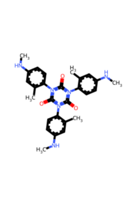 CNc1ccc(-n2c(=O)n(-c3ccc(NC)cc3C)c(=O)n(-c3ccc(NC)cc3C)c2=O)c(C)c1